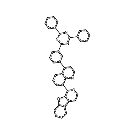 c1ccc(-c2nc(-c3ccccc3)nc(-c3cccc(-c4ccnc5c(-c6nccc7c6oc6ccccc67)cccc45)c3)n2)cc1